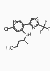 C[C@@H](CCO)Nc1cc(Cl)ncc1-c1csc(C(F)(F)F)n1